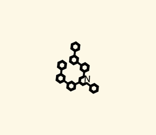 c1ccc(-c2cccc(-c3cccc(-c4cc(-c5ccccc5)nc(-c5cccc(-c6cccc(-c7ccccc7)c6)c5)c4)c3)c2)cc1